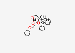 CC(C)(C)[Si](OC[C@H](COc1ccccc1)OC1CCCCO1)(c1ccccc1)c1ccccc1